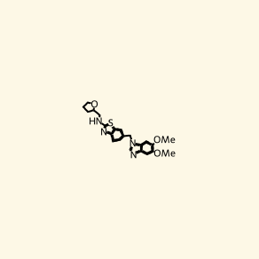 COc1cc2ncn(Cc3ccc4nc(NCC5CCCO5)sc4c3)c2cc1OC